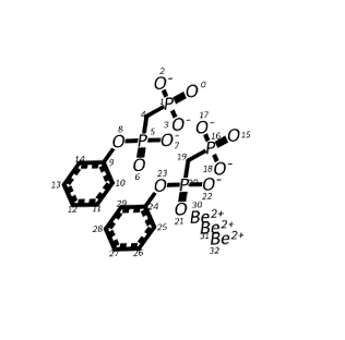 O=P([O-])([O-])CP(=O)([O-])Oc1ccccc1.O=P([O-])([O-])CP(=O)([O-])Oc1ccccc1.[Be+2].[Be+2].[Be+2]